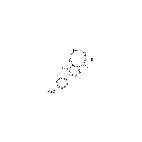 CCc1ncncsc2c(=O)n(-c3ccc(OC)cc3)cnc2c1C